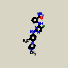 Cc1cc(Nc2ncc(F)c(NC3CCCC3C(N)=O)n2)ccc1N1CC2CC1CN2C